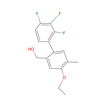 CCOc1cc(CO)c(-c2ccc(F)c(F)c2F)cc1C